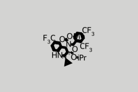 COC(=O)N(Cc1ccc(C(F)(F)F)cc1C(F)(F)F)C1c2cc(C(F)(F)F)ccc2N[C@H](C2CC2)[C@@H]1C(=O)OC(C)C